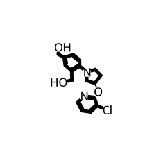 OCc1ccc(N2CC[C@H](Oc3ncccc3Cl)C2)c(CO)c1